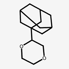 C1COC(C23CC4CC(CC(C4)C2)C3)CO1